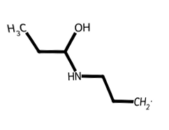 [CH2]CCNC(O)CC